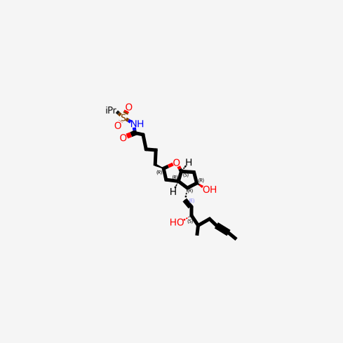 CC#CCC(C)[C@H](O)/C=C/[C@@H]1[C@H]2C[C@@H](CCCCC(=O)NS(=O)(=O)C(C)C)O[C@H]2C[C@H]1O